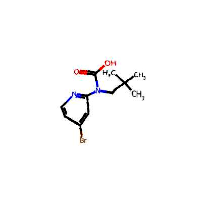 CC(C)(C)CN(C(=O)O)c1cc(Br)ccn1